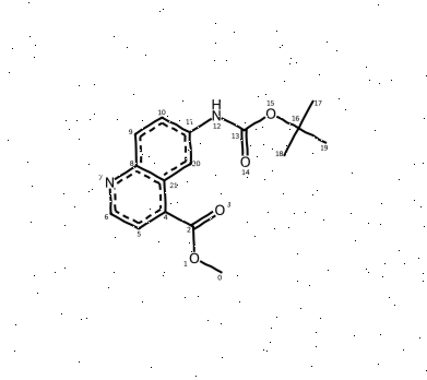 COC(=O)c1ccnc2ccc(NC(=O)OC(C)(C)C)cc12